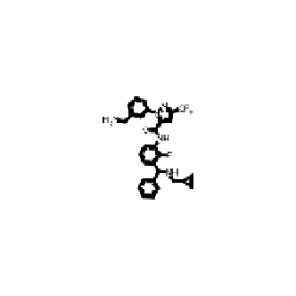 NCc1cccc(-n2nc(C(F)(F)F)cc2C(=O)Nc2cccc(C(NCC3CC3)c3ccccc3)c2F)c1